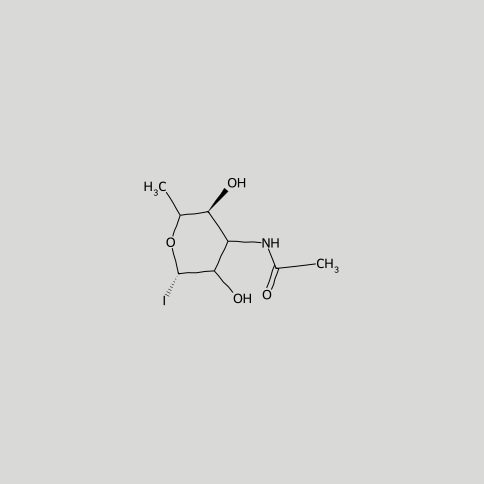 CC(=O)NC1C(O)[C@H](I)OC(C)[C@H]1O